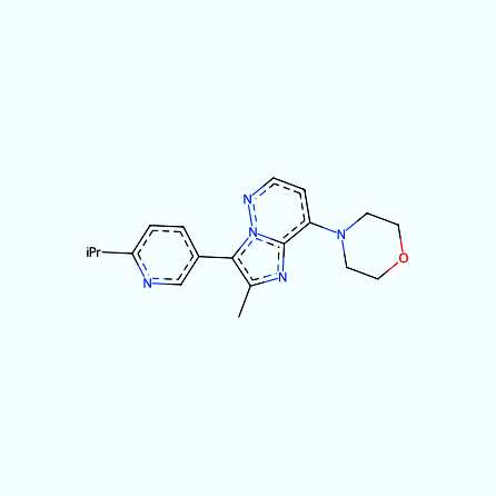 Cc1nc2c(N3CCOCC3)ccnn2c1-c1ccc(C(C)C)nc1